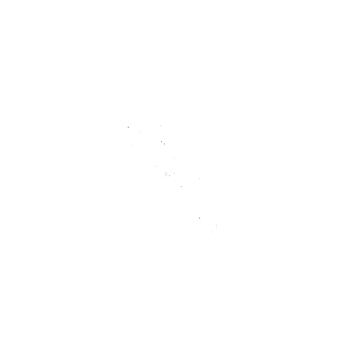 CN(C(=O)Nc1ccc(Cl)cc1Cl)C(C)(S)C(Cl)(Cl)Cl